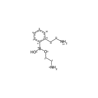 NCCOB(O)c1ccccc1CCN